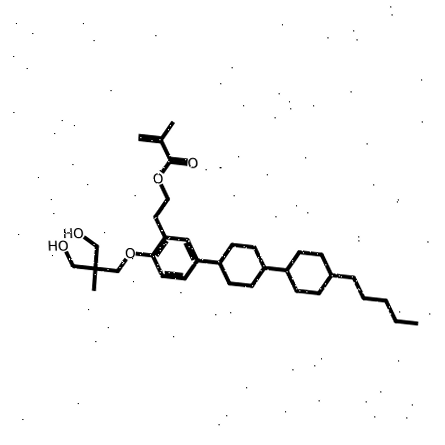 C=C(C)C(=O)OCCc1cc(C2CCC(C3CCC(CCCCC)CC3)CC2)ccc1OCC(C)(CO)CO